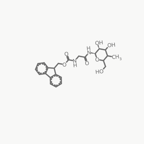 CC1C(CO)O[C@@H](NC(=O)CNC(=O)OCC2c3ccccc3-c3ccccc32)[C@@H](O)C1O